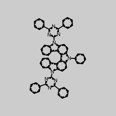 c1ccc(-c2nc(-c3ccccc3)nc(-n3c4ccccc4c4c5c6c7c8ccccc8n(-c8nc(-c9ccccc9)nc(-c9ccccc9)n8)c7ccc6n(-c6ccccc6)c5ccc43)n2)cc1